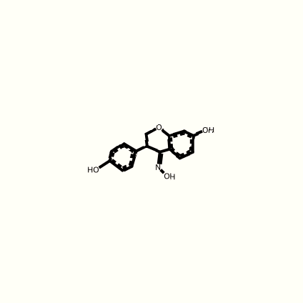 ON=C1c2ccc(O)cc2OCC1c1ccc(O)cc1